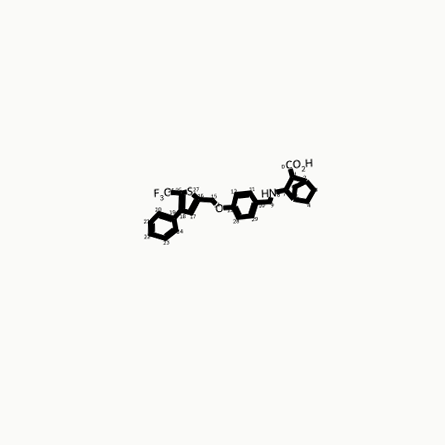 O=C(O)C1C2CCC(C2)C1NCc1ccc(OCc2cc(-c3ccccc3)c(C(F)(F)F)s2)cc1